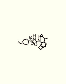 CCN1CCC(S(=O)(=O)NC(=O)Nc2c(C(C)C3CC3)ccc3c2CC3)CC1